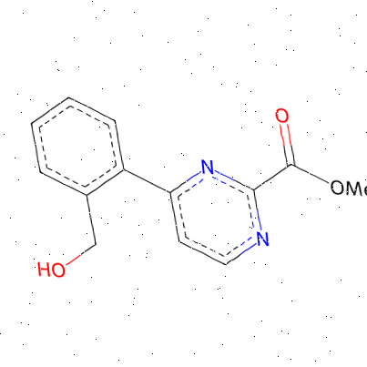 COC(=O)c1nccc(-c2ccccc2CO)n1